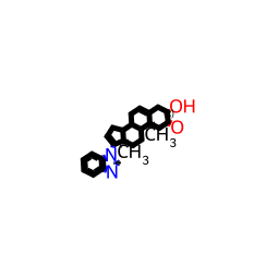 C[C@]12CC(=O)[C@H](O)CC1=CCC1C2CC[C@]2(C)C(n3cnc4ccccc43)=CCC12